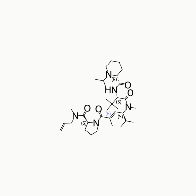 C=CCN(C)C(=O)[C@@H]1CCCN1C(=O)/C(C)=C/[C@H](C(C)C)N(C)C(=O)[C@@H](NC(=O)[C@H]1CCCCN1C(C)C)C(C)(C)C